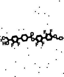 CCOc1ccc(-c2ccc(OC(=O)C3CCC(c4ccc(C(O)CC)c(F)c4F)CC3)c(F)c2F)c(F)c1F